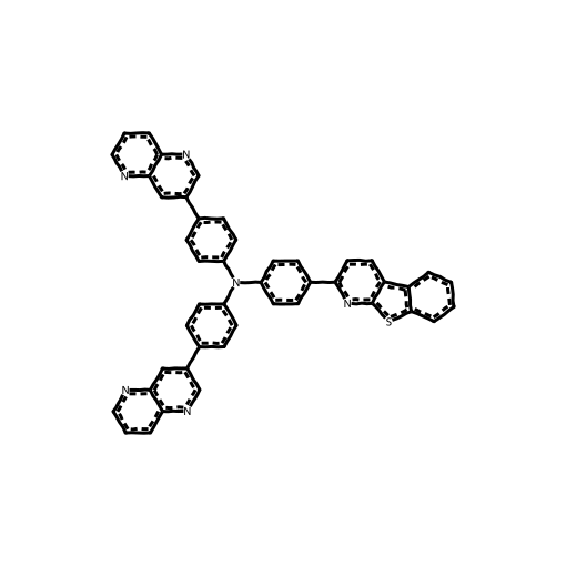 c1cnc2cc(-c3ccc(N(c4ccc(-c5cnc6cccnc6c5)cc4)c4ccc(-c5ccc6c(n5)sc5ccccc56)cc4)cc3)cnc2c1